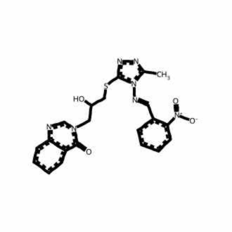 Cc1nnc(SCC(O)Cn2cnc3ccccc3c2=O)n1N=Cc1ccccc1[N+](=O)[O-]